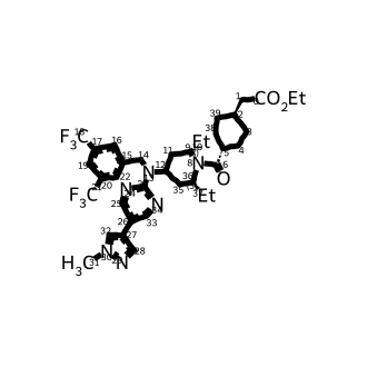 CCOC(=O)C[C@H]1CC[C@H](C(=O)N2[C@H](CC)CC(N(Cc3cc(C(F)(F)F)cc(C(F)(F)F)c3)c3ncc(-c4cnn(C)c4)cn3)C[C@@H]2CC)CC1